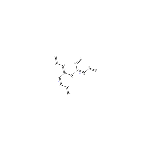 C=C/C=C\C(=C/C=C)O/C(C=C)=C/C=C